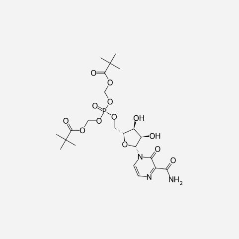 CC(C)(C)C(=O)OCOP(=O)(OCOC(=O)C(C)(C)C)OC[C@H]1O[C@@H](n2ccnc(C(N)=O)c2=O)[C@H](O)[C@@H]1O